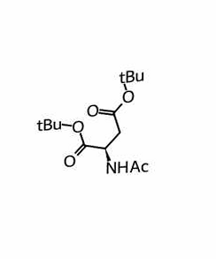 CC(=O)N[C@H](CC(=O)OC(C)(C)C)C(=O)OC(C)(C)C